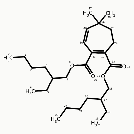 CCCCC(CC)COC(=O)C1=C(C(=O)OCC(CC)CCCC)CCC(C)(C)C=C1